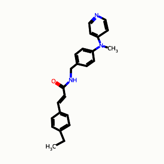 CCc1ccc(C=CC(=O)NCc2ccc(N(C)c3ccncc3)cc2)cc1